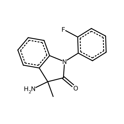 CC1(N)C(=O)N(c2ccccc2F)c2ccccc21